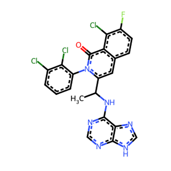 CC(Nc1ncnc2[nH]cnc12)c1cc2ccc(F)c(Cl)c2c(=O)n1-c1cccc(Cl)c1Cl